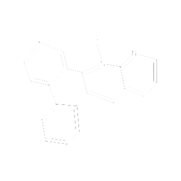 [O-][n+]1c(-c2ccccc2-c2ccccc2)ccc2cccnc21